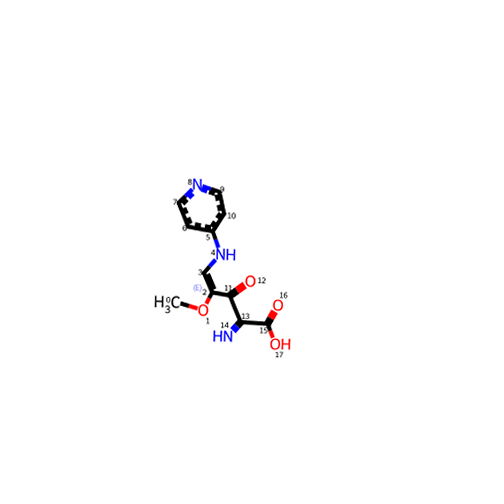 CO/C(=C/Nc1ccncc1)C(=O)C(=N)C(=O)O